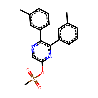 Cc1cccc(-c2ncc(OS(C)(=O)=O)nc2-c2cccc(C)c2)c1